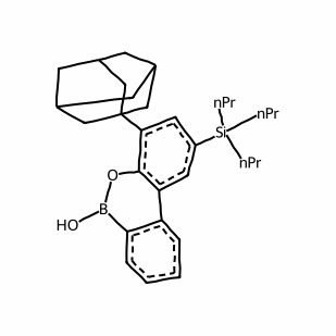 CCC[Si](CCC)(CCC)c1cc2c(c(C34CC5CC(CC(C5)C3)C4)c1)OB(O)c1ccccc1-2